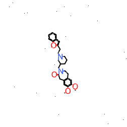 COc1cc2c(cc1OC)CC(=O)N(CC1CCCN(CCc3cc4ccccc4o3)C1)CC2